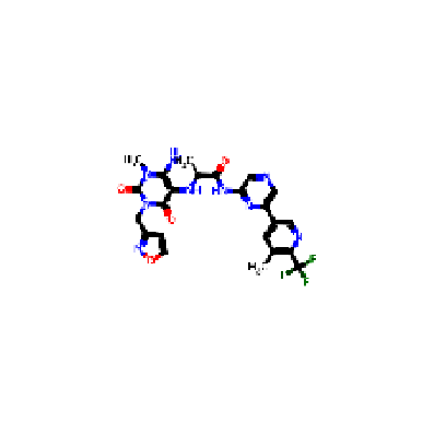 Cc1cc(-c2cncc(NC(=O)[C@H](C)Nc3c(N)n(C)c(=O)n(Cc4ccon4)c3=O)n2)cnc1C(F)(F)F